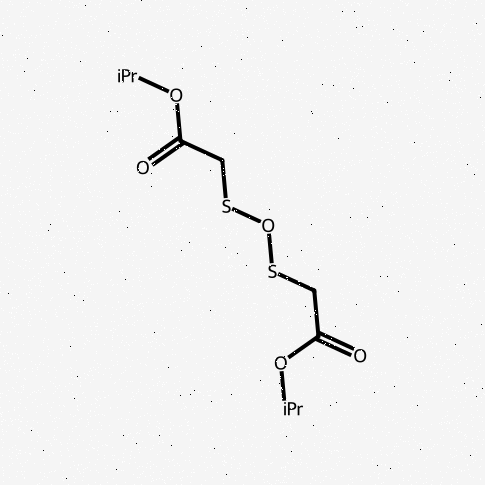 CC(C)OC(=O)CSOSCC(=O)OC(C)C